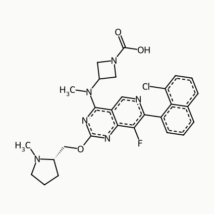 CN(c1nc(OC[C@@H]2CCCN2C)nc2c(F)c(-c3cccc4cccc(Cl)c34)ncc12)C1CN(C(=O)O)C1